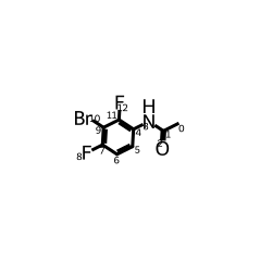 CC(=O)Nc1ccc(F)c(Br)c1F